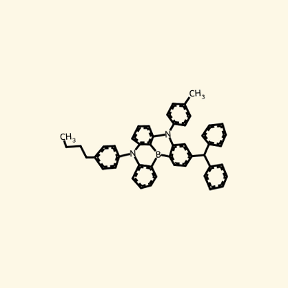 CCCCc1ccc(N2c3ccccc3B3c4ccc(C(c5ccccc5)c5ccccc5)cc4N(c4ccc(C)cc4)c4cccc2c43)cc1